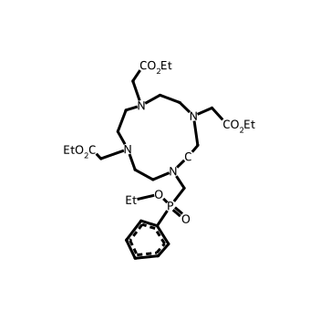 CCOC(=O)CN1CCN(CC(=O)OCC)CCN(CP(=O)(OCC)c2ccccc2)CCN(CC(=O)OCC)CC1